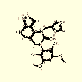 COc1cc(OC)c(F)c(N2Cc3cnc4[nH]ncc4c3N(Cc3cscn3)C2=O)c1F